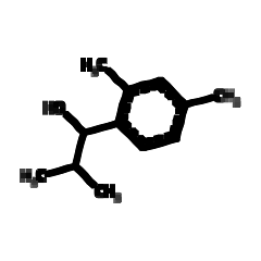 Cc1ccc(C(O)C(C)C)c(C)c1